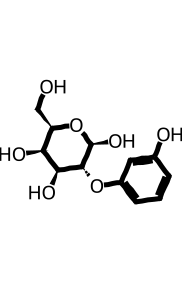 OC[C@H]1O[C@@H](O)[C@H](Oc2cccc(O)c2)[C@@H](O)[C@H]1O